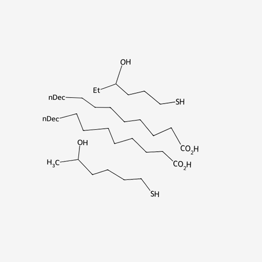 CC(O)CCCCS.CCC(O)CCCS.CCCCCCCCCCCCCCCCCC(=O)O.CCCCCCCCCCCCCCCCCC(=O)O